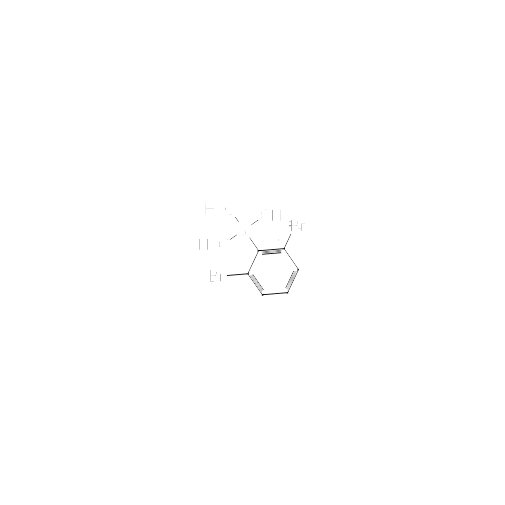 C[Si](C)(C)c1c(Br)cccc1Br